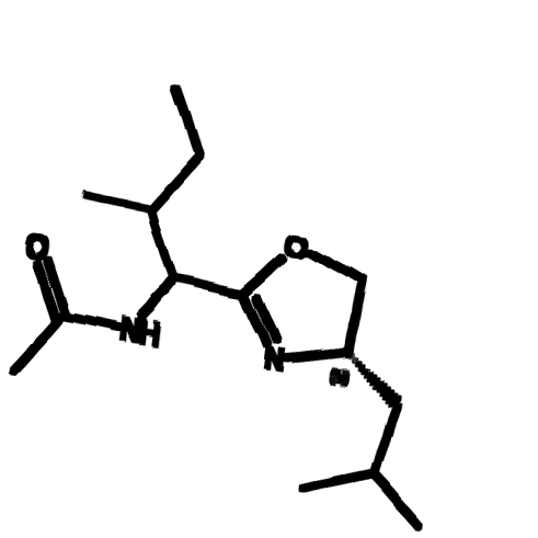 CCC(C)C(NC(C)=O)C1=N[C@@H](CC(C)C)CO1